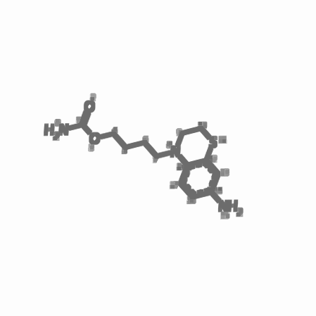 NC(=O)OCCCCN1CCSc2cc(N)ccc21